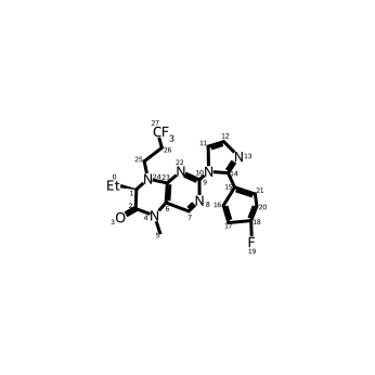 CC[C@@H]1C(=O)N(C)c2cnc(-n3ccnc3-c3ccc(F)cc3)nc2N1CCC(F)(F)F